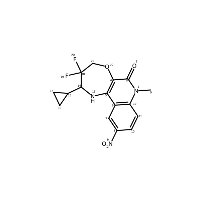 Cn1c(=O)c2c(c3cc([N+](=O)[O-])ccc31)NC(C1CC1)C(F)(F)CO2